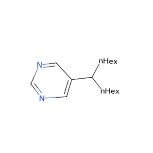 CCCCCCC(CCCCCC)c1cncnc1